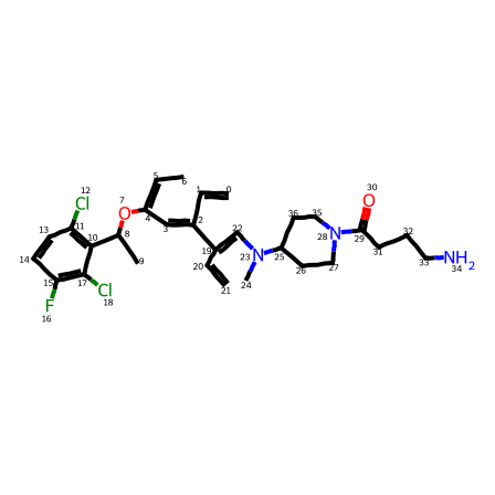 C=CC(=C\C(=C/C)OC(C)c1c(Cl)ccc(F)c1Cl)/C(C=C)=C/N(C)C1CCN(C(=O)CCCN)CC1